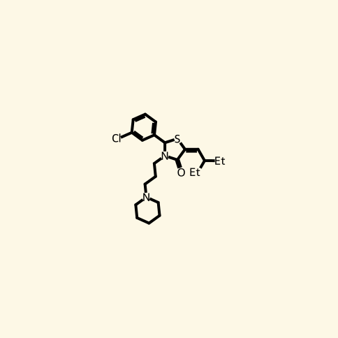 CCC(C=C1SC(c2cccc(Cl)c2)N(CCCN2CCCCC2)C1=O)CC